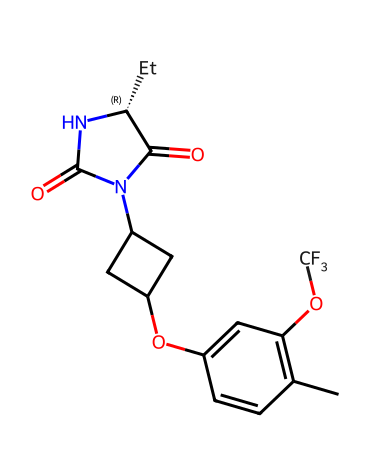 CC[C@H]1NC(=O)N(C2CC(Oc3ccc(C)c(OC(F)(F)F)c3)C2)C1=O